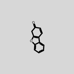 O=C1C=Cc2c(oc3ccccc23)C1